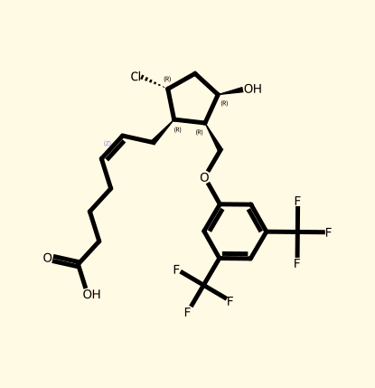 O=C(O)CCC/C=C\C[C@@H]1[C@H](COc2cc(C(F)(F)F)cc(C(F)(F)F)c2)[C@H](O)C[C@H]1Cl